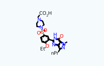 CCCc1nn(C)c2c(=O)[nH]c(-c3cc(S(=O)(=O)N4CCN(CC(=O)O)CC4)ccc3OCC)nc12